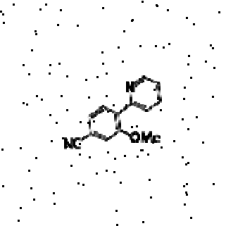 COc1cc(C#N)ccc1-c1ccccn1